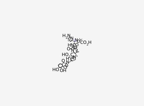 C[C@@H]1S[C@@H]2[C@H](NC(=O)/C(=N\OC(C)(C)C(=O)O)c3csc(N)n3)C(=O)N2C(C(=O)O)=C1C[N+]12CCC(CNC(=O)C(=O)c3ccc(O)c(O)c3Cl)(CC1)CC2